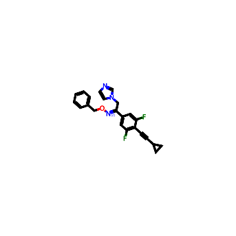 Fc1cc(/C(Cn2ccnc2)=N/OCc2ccccc2)cc(F)c1C#CC1CC1